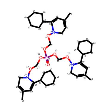 CC1=CCN(OCOP(=O)(OCON2CC=C(C)C=C2C2CCCCC2)OCON2CC=C(C)C=C2C2CCCCC2)C(C2CCCCC2)=C1